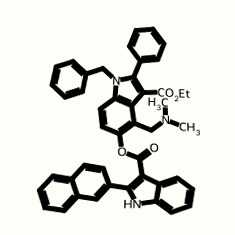 CCOC(=O)c1c(-c2ccccc2)n(Cc2ccccc2)c2ccc(OC(=O)c3c(-c4ccc5ccccc5c4)[nH]c4ccccc34)c(CN(C)C)c12